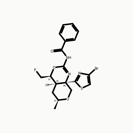 C[C@H]1C[C@H]2[C@@H](CF)OC(NC(=O)c3ccccc3)=N[C@@]2(c2nc(Br)cs2)CO1